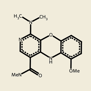 CNC(=O)c1cnc(N(C)C)c2c1Nc1c(OC)cccc1O2